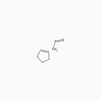 C1=CCCC1.CP=O